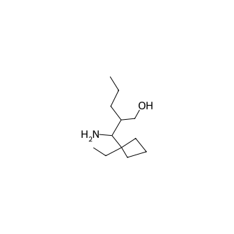 CCCC(CO)C(N)C1(CC)CCC1